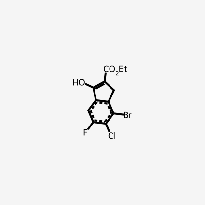 CCOC(=O)C1=C(O)c2cc(F)c(Cl)c(Br)c2C1